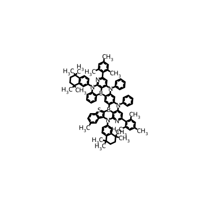 Cc1cc(C)c(-c2cc3c4c(n2)N(c2ccc5c(c2)C(C)(C)CCC5(C)C)c2ccccc2B4c2cc4c(cc2N3c2ccccc2)N(c2ccccc2)c2cc(-c3c(C)cc(C)cc3C)nc3c2B4c2sc4ccc(C)cc4c2N3c2ccc3c(c2)C(C)(C)CCC3(C)C)c(C)c1